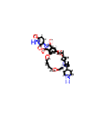 O=C1CCC(N2C(=O)c3cc4cc(c3C2=O)OCCCCOCCN(CC2CCNCC2)[C@H]2C[C@@H](C2)O4)C(=O)N1